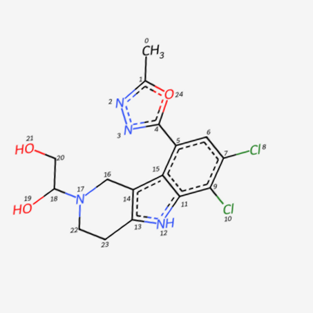 Cc1nnc(-c2cc(Cl)c(Cl)c3[nH]c4c(c23)CN(C(O)CO)CC4)o1